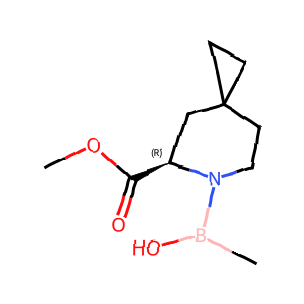 COC(=O)[C@H]1CC2(CCN1B(C)O)CC2